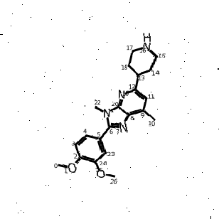 COc1ccc(-c2nc3c(C)cc(C4CCNCC4)nc3n2C)cc1OC